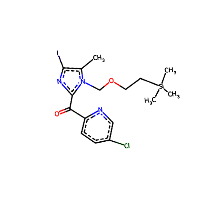 Cc1c(I)nc(C(=O)c2ccc(Cl)cn2)n1COCC[Si](C)(C)C